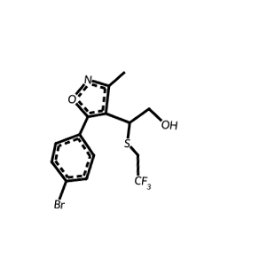 Cc1noc(-c2ccc(Br)cc2)c1C(CO)SCC(F)(F)F